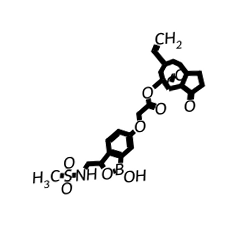 C=CC1CCC23CCCC(C(OC(=O)COc4ccc5c(c4)B(O)OC5CNS(C)(=O)=O)C1)C2C(=O)CC3